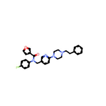 O=C(c1ccoc1)N(Cc1ccc(N2CCN(CCc3ccccc3)CC2)nc1)c1ccc(F)cc1